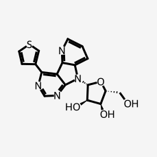 OC[C@H]1O[C@@H](n2c3cccnc3c3c(-c4ccsc4)ncnc32)[C@H](O)[C@@H]1O